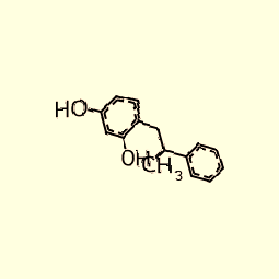 CC(Cc1ccc(O)cc1O)c1ccccc1